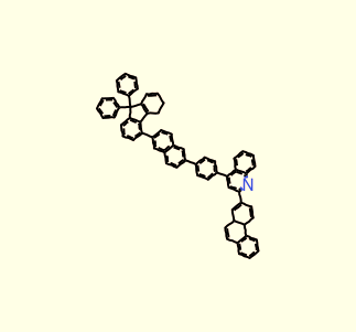 C1=CC2=C(CC1)c1c(-c3ccc4cc(-c5ccc(-c6cc(C7=CC8C=Cc9ccccc9C8C=C7)nc7ccccc67)cc5)ccc4c3)cccc1C2(c1ccccc1)c1ccccc1